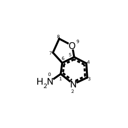 Nc1nccc2c1CCO2